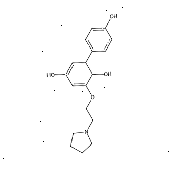 OC1=CC(c2ccc(O)cc2)C(O)C(OCCN2CCCC2)=C1